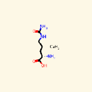 NC(=O)NCCC[C@H](N)C(=O)O.[CaH2]